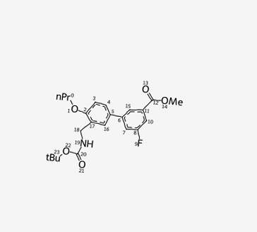 CCCOc1ccc(-c2cc(F)cc(C(=O)OC)c2)cc1CNC(=O)OC(C)(C)C